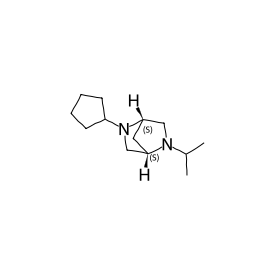 CC(C)N1C[C@@H]2C[C@H]1CN2C1CCCC1